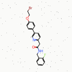 O=C(Cc1ccc(-c2ccc(OCCBr)cc2)cn1)NCc1ccccc1F